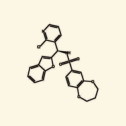 O=S(=O)(N[C@@H](c1cc2ccccc2o1)c1cccnc1Cl)c1ccc2c(c1)OCCCO2